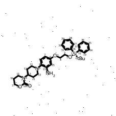 CC(C)(C)[Si](OCCOc1ccc(N2CCC(N3CCCOC3=O)CC2)c(N)c1)(c1ccccc1)c1ccccc1